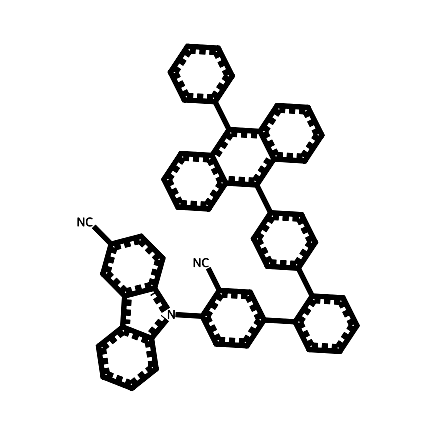 N#Cc1ccc2c(c1)c1ccccc1n2-c1ccc(-c2ccccc2-c2ccc(-c3c4ccccc4c(-c4ccccc4)c4ccccc34)cc2)cc1C#N